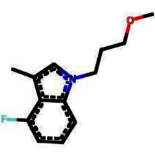 COCCCn1cc(C)c2c(F)cccc21